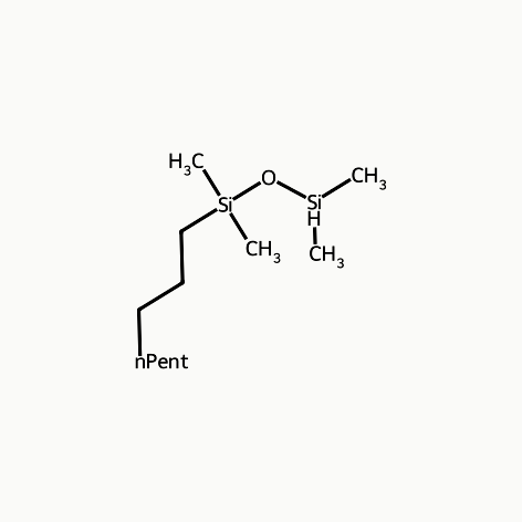 CCCCCCCC[Si](C)(C)O[SiH](C)C